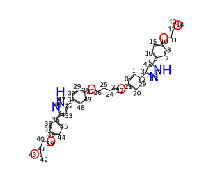 c1cc(-c2cc(-c3ccc(OCC4CO4)cc3)[nH]n2)ccc1OCCCCOc1ccc(-c2cc(-c3ccc(OCC4CO4)cc3)n[nH]2)cc1